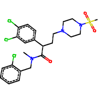 CN(Cc1ccccc1Cl)C(=O)C(CCN1CCN(S(C)(=O)=O)CC1)c1ccc(Cl)c(Cl)c1